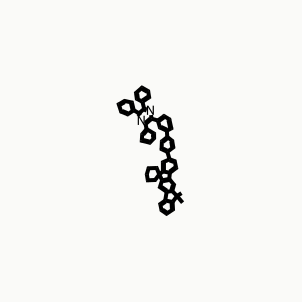 CC1(C)c2ccccc2-c2cc3c(cc21)-c1ccc(-c2ccc(-c4cccc(-c5nc(-c6ccccc6)c(-c6ccccc6)nc5-c5ccccc5)c4)cc2)cc1C31CCCCC1